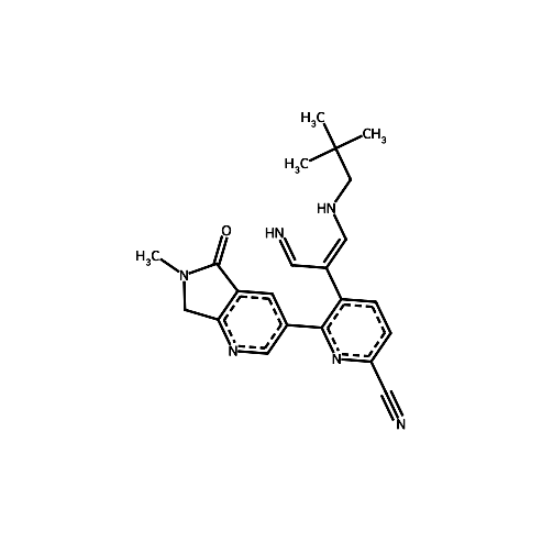 CN1Cc2ncc(-c3nc(C#N)ccc3/C(C=N)=C/NCC(C)(C)C)cc2C1=O